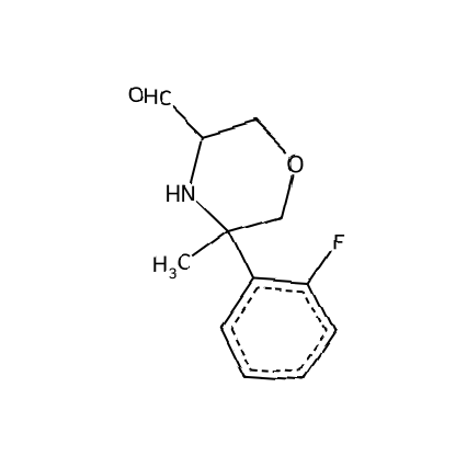 CC1(c2ccccc2F)COCC(C=O)N1